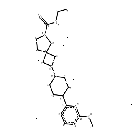 CCOC(=O)N1CCC2(CC(N3CCC(c4cccc(OC)n4)CC3)C2)C1